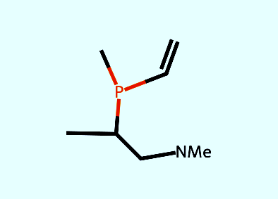 C=CP(C)C(C)CNC